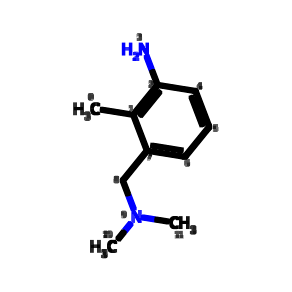 Cc1c(N)cccc1CN(C)C